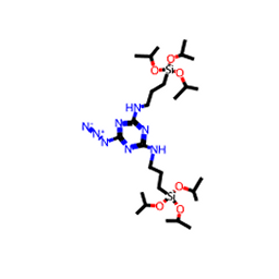 CC(C)O[Si](CCCNc1nc(N=[N+]=[N-])nc(NCCC[Si](OC(C)C)(OC(C)C)OC(C)C)n1)(OC(C)C)OC(C)C